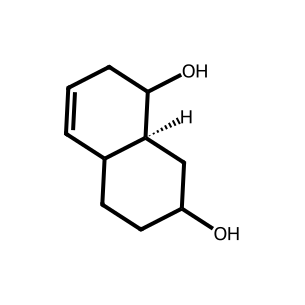 OC1CCC2C=CCC(O)[C@H]2C1